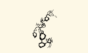 CN(C)Cc1cccc(S(=O)(=O)NC(COCc2ccccc2)C(=O)NCc2ccc(-c3ccccc3-c3nnn[nH]3)cc2)c1